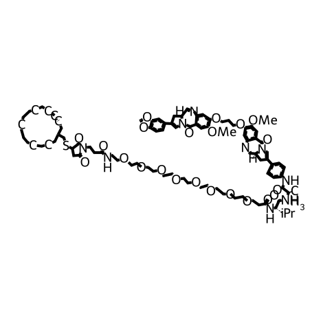 COc1cc2c(cc1OCCCOc1cc3c(cc1OC)C(=O)N1C=C(c4ccc5c(c4)OCO5)C[C@H]1C=N3)N=C[C@@H]1CC(c3ccc(NC(=O)[C@H](C)NC(=O)[C@@H](NC(=O)CCOCCOCCOCCOCCOCCOCCOCCOCCNC(=O)CCN4C(=O)CC(SCC5CCCCCCCCCCCCCCCC5)C4=O)C(C)C)cc3)=CN1C2=O